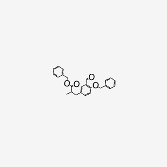 CC(Cc1ccc(OCc2ccccc2)c(C=O)c1)C(=O)OCc1ccccc1